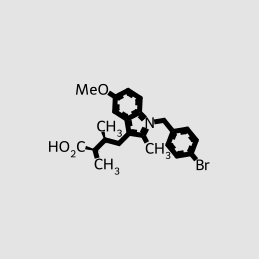 COc1ccc2c(c1)c(C[C@H](C)[C@@H](C)C(=O)O)c(C)n2Cc1ccc(Br)cc1